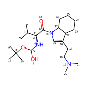 CC(C)[C@H](NC(O)OC(C)(C)C)C(=O)N1C=C(CCN(C)C)C2CCCCC21